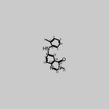 Cc1cc[c]cc1Nc1ccc2ncn(C)c(=O)c2c1